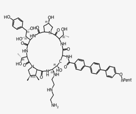 CCCCCOc1ccc(-c2ccc(-c3ccc(C(=O)NC4C[C@@H](O)[C@@H](NCCNCCN)NC(=O)C5[C@@H](C)[C@@H](C)CN5C(=O)C([C@@H](C)O)NC(=O)C([C@H](O)[C@@H](O)c5ccc(O)cc5)NC(=O)C5C[C@@H](O)CN5C(=O)C([C@@H](C)O)NC4=O)cc3)cc2)cc1